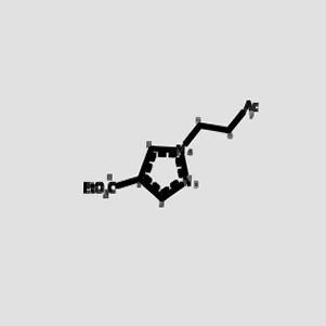 CCOC(=O)c1cnn(CCC(C)=O)c1